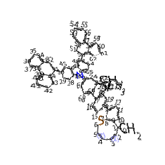 C=C1/C=C\C=C/CSc2c1cccc2-c1ccc2c(c1)[Si](C)(C)c1cc(-n3c4ccc(-c5cc6ccccc6c6ccccc56)cc4c4cc(-c5cc6ccccc6c6ccccc56)ccc43)ccc1-2